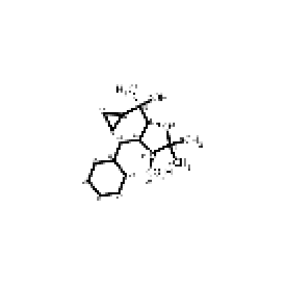 CC1(C)O[C@@H]([C@](C)(O)C2CC2)[C@H](CC2CCCCC2)N1C(=O)O